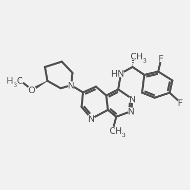 CO[C@H]1CCCN(c2cnc3c(C)nnc(N[C@H](C)c4ccc(F)cc4F)c3c2)C1